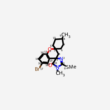 CSC1=NC2(CC3(CCC(C)CC3)Oc3ccc(Br)cc32)C(=O)N1C